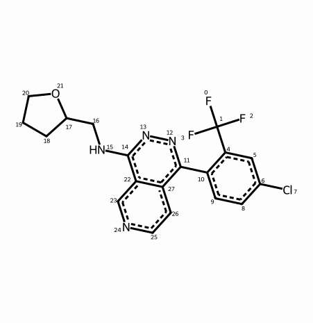 FC(F)(F)c1cc(Cl)ccc1-c1nnc(NCC2CCCO2)c2cnccc12